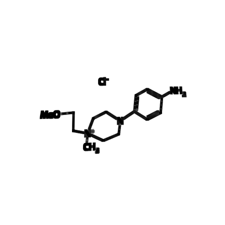 COCC[N+]1(C)CCN(c2ccc(N)cc2)CC1.[Cl-]